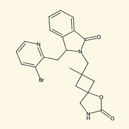 CC1(CN2C(=O)c3ccccc3C2Cc2ncccc2Br)CC2(CNC(=O)O2)C1